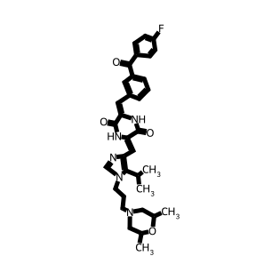 CC1CN(CCCn2cnc(/C=c3\[nH]c(=O)/c(=C/c4cccc(C(=O)c5ccc(F)cc5)c4)[nH]c3=O)c2C(C)C)CC(C)O1